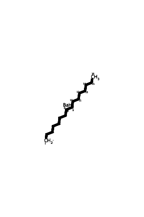 [BaH2].[CH2]CCCCCCCCCCCCCCC